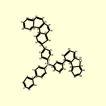 c1ccc(-c2ccc(N(c3ccc(-c4ccc5c(ccc6ccc7ccccc7c65)c4)cc3)c3cccc(-c4cccc5oc6ccccc6c45)c3)cc2)cc1